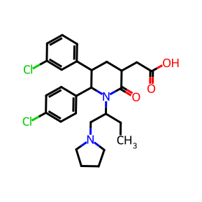 CCC(CN1CCCC1)N1C(=O)C(CC(=O)O)CC(c2cccc(Cl)c2)C1c1ccc(Cl)cc1